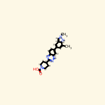 Cc1cc(-c2ccc3nc(C4CCN(C(=O)O)CC4)nnc3c2)cc2cn(C)nc12